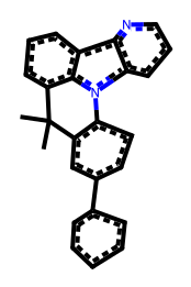 CC1(C)c2cc(-c3ccccc3)ccc2-n2c3cccnc3c3cccc1c32